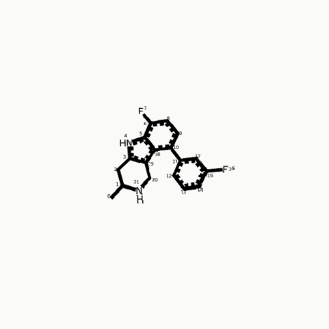 CC1Cc2[nH]c3c(F)ccc(-c4cccc(F)c4)c3c2CN1